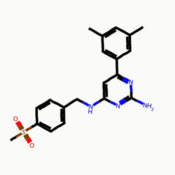 Cc1cc(C)cc(-c2cc(NCc3ccc(S(C)(=O)=O)cc3)nc(N)n2)c1